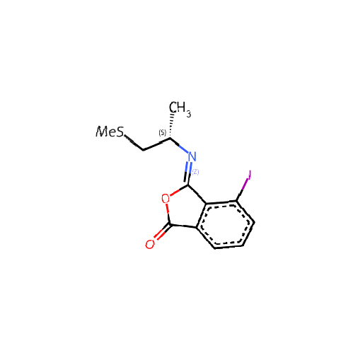 CSC[C@H](C)/N=C1\OC(=O)c2cccc(I)c21